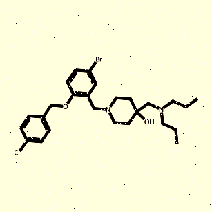 CCCN(CCC)CC1(O)CCN(Cc2cc(Br)ccc2OCc2ccc(Cl)cc2)CC1